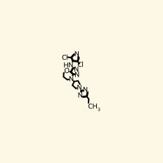 CCCc1cnc(N2CCC(N3CCCOc4c(Nc5c(Cl)cncc5Cl)ncnc43)CC2)nc1